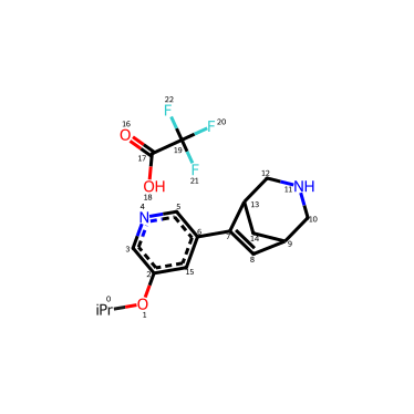 CC(C)Oc1cncc(C2=CC3CNCC2C3)c1.O=C(O)C(F)(F)F